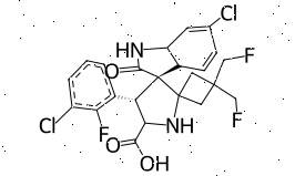 O=C(O)C1NC2(CC(CF)(CF)C2)[C@@]2(C(=O)NC3C=C(Cl)C=CC32)[C@H]1c1cccc(Cl)c1F